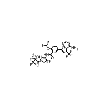 C[C@@](O)(C(=O)N1C[C@H](F)[C@H](NC(=O)c2cc(-c3cc(C(F)(F)F)c4c(N)ncnn34)ccc2OC(F)F)C1)C(F)(F)F